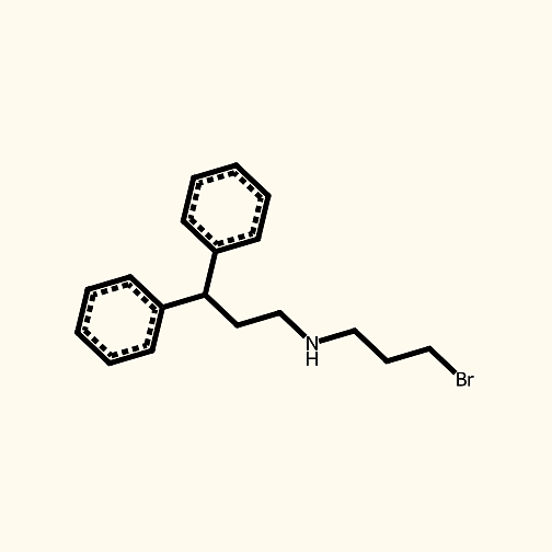 BrCCCNCCC(c1ccccc1)c1ccccc1